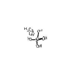 O[Si](O)(O)O.[CaH2].[LiH]